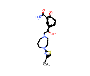 Cc1csc(N2CCCN(CC(O)c3ccc(O)c(C(N)=O)c3)CC2)n1